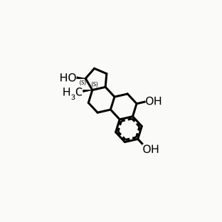 C[C@]12CCC3c4ccc(O)cc4C(O)CC3C1CC[C@@H]2O